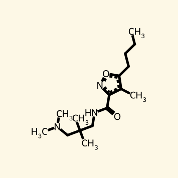 CCCCc1onc(C(=O)NCC(C)(C)CN(C)C)c1C